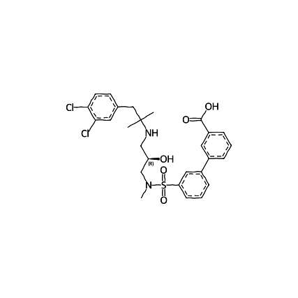 CN(C[C@H](O)CNC(C)(C)Cc1ccc(Cl)c(Cl)c1)S(=O)(=O)c1cccc(-c2cccc(C(=O)O)c2)c1